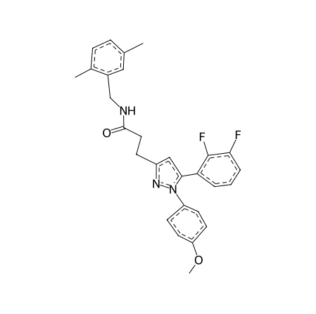 COc1ccc(-n2nc(CCC(=O)NCc3cc(C)ccc3C)cc2-c2cccc(F)c2F)cc1